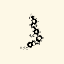 COc1ccc(Cn2nnc3c2CN(c2ccc(-c4ncc5nc(C(F)(F)F)ccc5n4)cc2C)CCO3)cc1